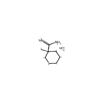 CC1(C(=N)N)CCCCC1.Cl